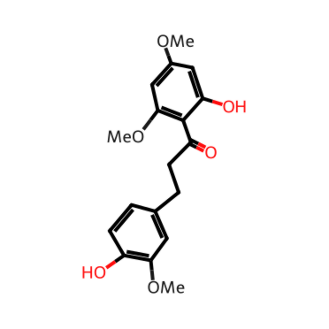 COc1cc(O)c(C(=O)CCc2ccc(O)c(OC)c2)c(OC)c1